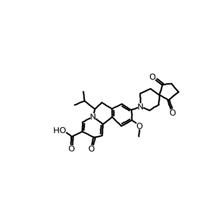 COc1cc2c(cc1N1CCC3(CC1)C(=O)CCC3=O)CC(C(C)C)n1cc(C(=O)O)c(=O)cc1-2